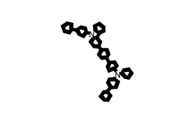 c1ccc(-c2ccc(N(c3ccccc3)c3ccc(-c4ccc(-c5ccc6c(c5)c5ccccc5n6-c5ccc(-c6ccccc6)cc5)cc4)cc3)cc2)cc1